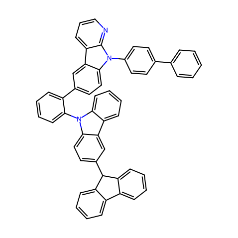 c1ccc(-c2ccc(-n3c4ccc(-c5ccccc5-n5c6ccccc6c6cc(C7c8ccccc8-c8ccccc87)ccc65)cc4c4cccnc43)cc2)cc1